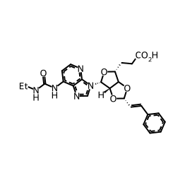 CCNC(=O)Nc1ccnc2c1ncn2[C@@H]1O[C@H](CCC(=O)O)C2O[C@H](/C=C/c3ccccc3)O[C@@H]21